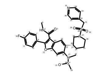 CNC(=O)c1c(-c2ccc(F)cc2)oc2cc(N(C)[S+](C)[O-])c([C@H]3CCCN(S(=O)(=O)Cc4ccncc4)C3)cc12